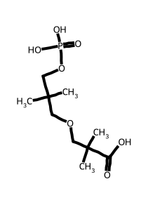 CC(C)(COCC(C)(C)C(=O)O)COP(=O)(O)O